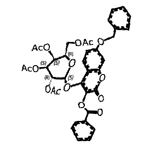 CC(=O)OC[C@H]1O[C@@H](Oc2c(OC(=O)c3ccccc3)c(=O)oc3cc(OCc4ccccc4)ccc23)[C@H](OC(C)=O)[C@@H](OC(C)=O)[C@H]1OC(C)=O